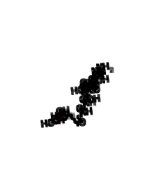 CC(=CCC[C@@H](C)[C@H]1CC[C@H]2[C@@H]3[C@H](O)C[C@@H]4C[C@H](O)CC[C@]4(C)[C@H]3CC[C@]12C)C(=O)SCCNC(=O)CCNC(=O)[C@H](O)C(C)(C)COP(=O)(O)OP(=O)(O)OC[C@H]1O[C@@H](n2cnc3c(N)ncnc32)[C@H](O)[C@@H]1OP(=O)(O)O